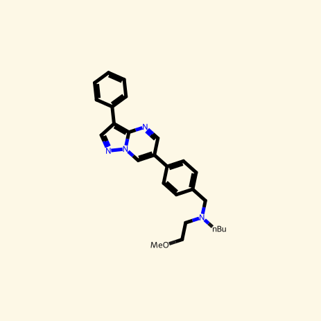 CCCCN(CCOC)Cc1ccc(-c2cnc3c(-c4ccccc4)cnn3c2)cc1